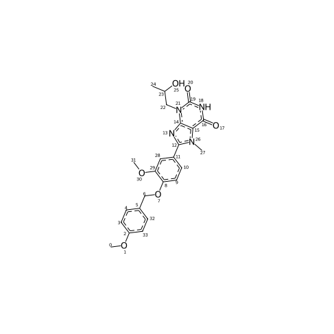 COc1ccc(COc2ccc(-c3nc4c(c(=O)[nH]c(=O)n4CC(C)O)n3C)cc2OC)cc1